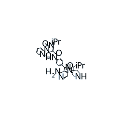 CC(C)C(=O)C1(n2nc(-c3ccc(NC(=O)c4cn(C(C)C)c(=O)n(-c5ccccn5)c4=O)cc3)c3c(N)nccc32)CCNCC1